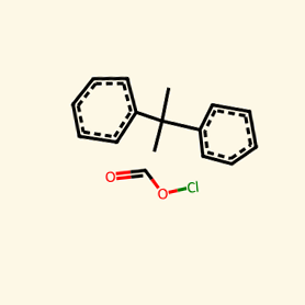 CC(C)(c1ccccc1)c1ccccc1.O=COCl